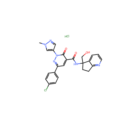 Cl.Cn1cc(-n2nc(-c3ccc(Cl)cc3)cc(C(=O)NC3(CO)CCc4ncccc43)c2=O)cn1